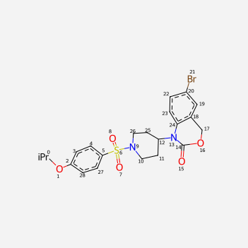 CC(C)Oc1ccc(S(=O)(=O)N2CCC(N3C(=O)OCc4cc(Br)ccc43)CC2)cc1